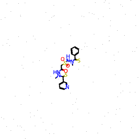 CN(NC(=O)CS(=O)(=O)NN(C)C(=S)c1ccccc1)C(=S)c1cccnc1